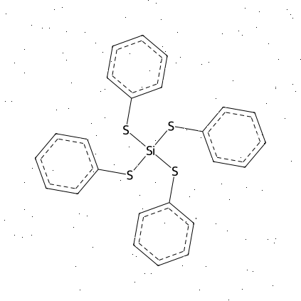 c1ccc(S[Si](Sc2ccccc2)(Sc2ccccc2)Sc2ccccc2)cc1